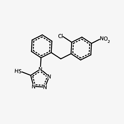 O=[N+]([O-])c1ccc(Cc2ccccc2-n2nnnc2S)c(Cl)c1